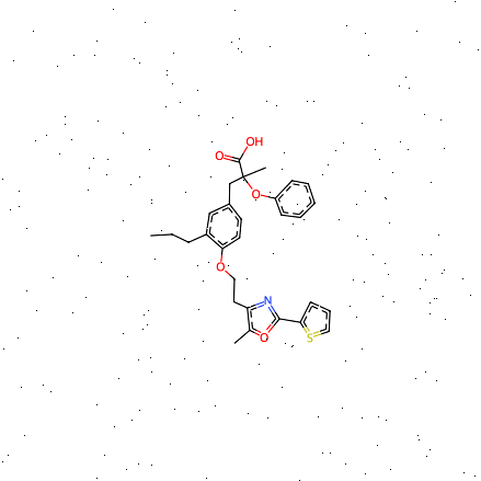 CCCc1cc(CC(C)(Oc2ccccc2)C(=O)O)ccc1OCCc1nc(-c2cccs2)oc1C